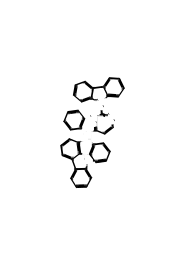 c1ccc([Si](c2ccccc2)(c2ccnc(-n3c4ccccc4c4ccccc43)n2)c2cccc3c2oc2ccccc23)cc1